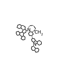 C=C1/C=C\C=C/CN(c2cc3c4ccccc4c4ccccc4c3c3c2ccc2ccccc23)c2ccc(-c3ccc4c(c3)c3ccccc3n4-c3cccc4ccccc34)cc21